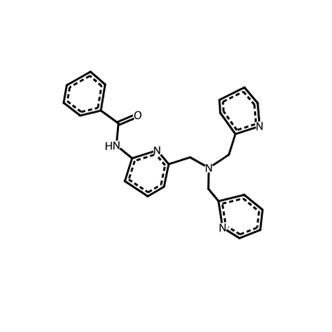 O=C(Nc1cccc(CN(Cc2ccccn2)Cc2ccccn2)n1)c1ccccc1